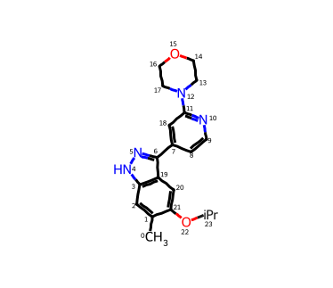 Cc1cc2[nH]nc(-c3ccnc(N4CCOCC4)c3)c2cc1OC(C)C